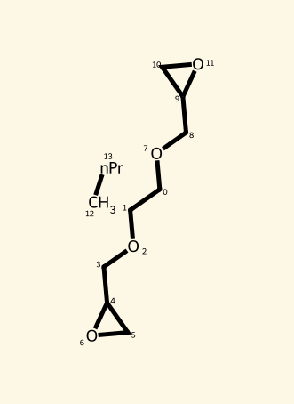 C(COCC1CO1)OCC1CO1.CCCC